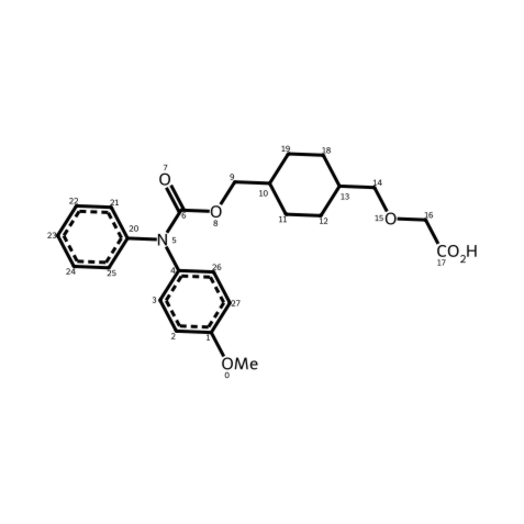 COc1ccc(N(C(=O)OCC2CCC(COCC(=O)O)CC2)c2ccccc2)cc1